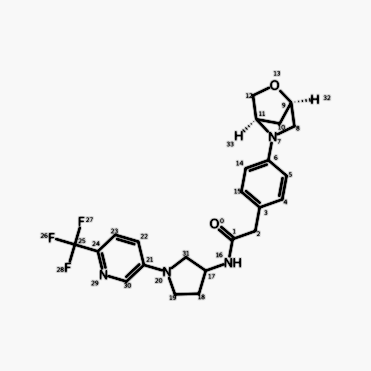 O=C(Cc1ccc(N2C[C@H]3C[C@@H]2CO3)cc1)NC1CCN(c2ccc(C(F)(F)F)nc2)C1